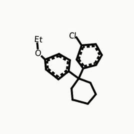 CCOc1ccc(C2(c3cccc(Cl)c3)CCCCC2)cc1